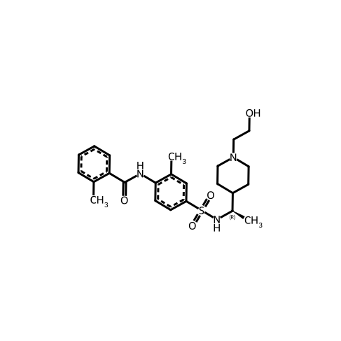 Cc1cc(S(=O)(=O)N[C@H](C)C2CCN(CCO)CC2)ccc1NC(=O)c1ccccc1C